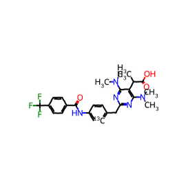 CC(C(=O)O)c1c(N(C)C)nc(Cc2ccc(NC(=O)c3ccc(C(F)(F)F)cc3)c[13cH]2)nc1N(C)C